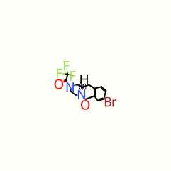 O=C1c2cc(Br)ccc2C[C@@H]2CN(C(=O)C(F)(F)F)CCN12